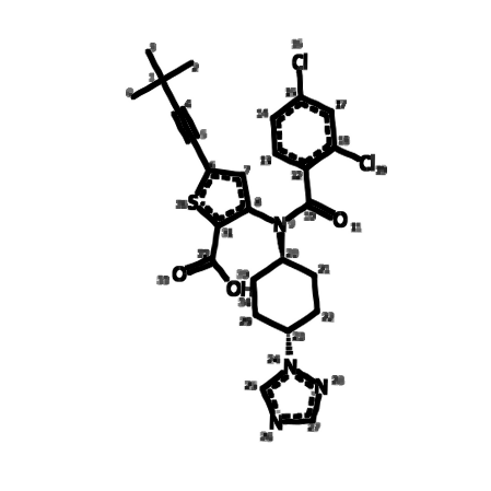 CC(C)(C)C#Cc1cc(N(C(=O)c2ccc(Cl)cc2Cl)[C@H]2CC[C@H](n3cncn3)CC2)c(C(=O)O)s1